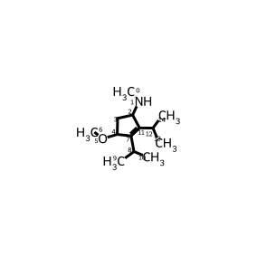 CNC1CC(OC)C(C(C)C)=C1C(C)C